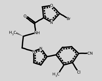 Cc1c(-c2ccn(C[C@H](C)NC(=O)c3coc(Br)n3)n2)ccc(C#N)c1Cl